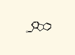 O=Cc1cccc2c1CC1C=CC=CC21